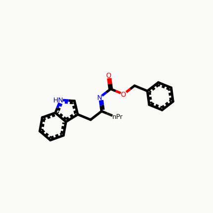 CCCC(Cc1c[nH]c2ccccc12)=NC(=O)OCc1ccccc1